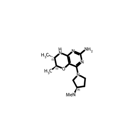 CN[C@@H]1CCN(c2nc(N)nc3c2O[C@@H](C)[C@H](C)N3)C1